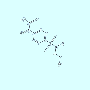 CCN(CCO)S(=O)(=O)c1ccc(C(=N)C(N)=O)cc1